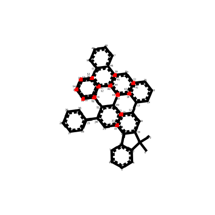 CC1(C)c2ccccc2-c2ccc(-c3ccccc3N(c3cccc(-c4ccccc4)c3-c3ccccc3-c3ccccc3)c3cc4ccccc4c4ccccc34)cc21